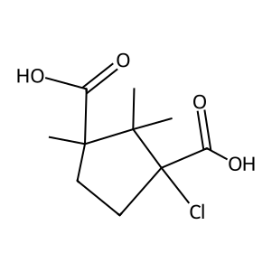 CC1(C(=O)O)CCC(Cl)(C(=O)O)C1(C)C